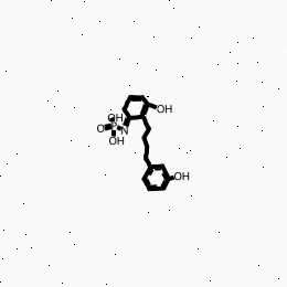 O=P(O)(O)N=C1CC=CC(O)=C1CCCCc1cccc(O)c1